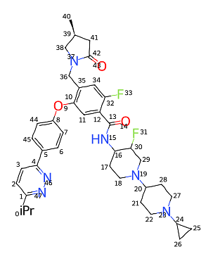 CC(C)c1ccc(-c2ccc(Oc3cc(C(=O)NC4CCN(C5CCN(C6CC6)CC5)CC4F)c(F)cc3CN3C[C@@H](C)CC3=O)cc2)nn1